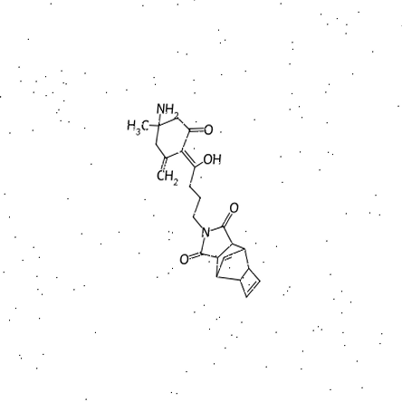 C=C1CC(C)(N)CC(=O)/C1=C(\O)CCCN1C(=O)C2C3C=CC(C4C=CC43)C2C1=O